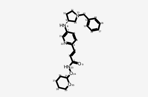 O=C(/C=C/c1ccc(N[C@@H]2CCN(Cc3ccccc3)C2)cn1)NOC1CCCCO1